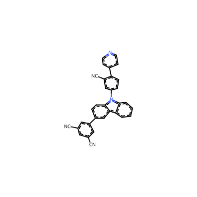 N#Cc1cc(C#N)cc(-c2ccc3c(c2)c2ccccc2n3-c2ccc(-c3ccncc3)c(C#N)c2)c1